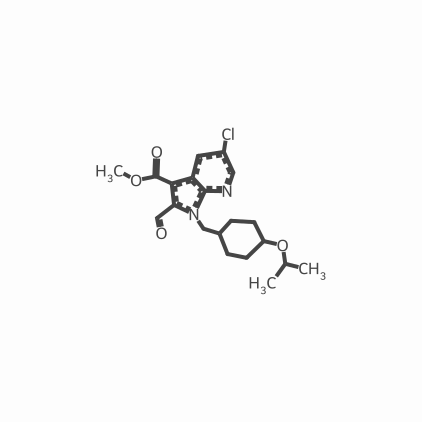 COC(=O)c1c(C=O)n(CC2CCC(OC(C)C)CC2)c2ncc(Cl)cc12